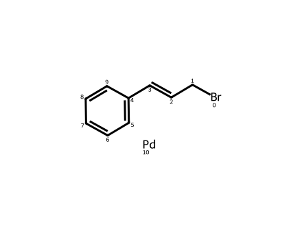 BrCC=Cc1ccccc1.[Pd]